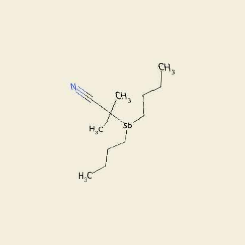 CCC[CH2][Sb]([CH2]CCC)[C](C)(C)C#N